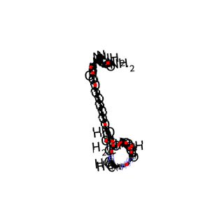 CO[C@H]1C[C@@H]2CC[C@@H](C)[C@@](O)(O2)C(=O)C(=O)N2CCCC[C@H]2CO[C@H]([C@H](N)C[C@@H]2CC[C@@H](OC(=O)NCCOCCOCCOCCOCCOCCOCCOCCOCC(=O)N3CCc4cc(Cn5nc(-c6ccc7oc(N)nc7c6)c6c(N)ncnc65)ccc4C3)[C@H](OC)C2)CC(=O)[C@H](C)/C=C(\C)[C@@H](O)[C@@H](O)C(=O)[C@H](C)C[C@H](C)/C=C/C=C/C=C/1C